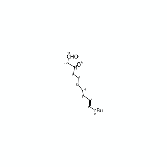 CCCCC=CCCCCCC(=O)C[C]=O